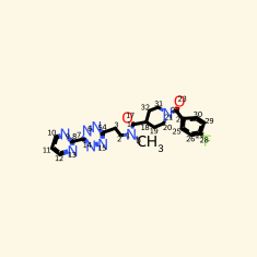 CN(CCc1nnc(-c2ncccn2)nn1)C(=O)C1CCN(C(=O)c2ccc(F)cc2)CC1